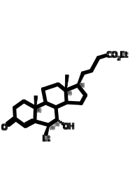 CCOC(=O)CCC[C@H]1CCC2C3C(CC[C@@]21C)[C@@]1(C)CCC(=O)C=C1[C@H](CC)[C@H]3O